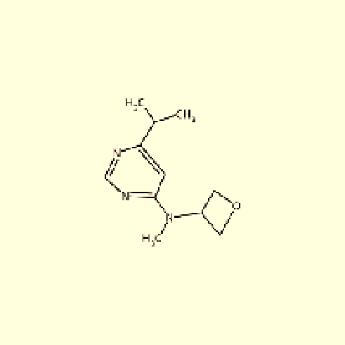 CC(C)c1cc(N(C)C2COC2)ncn1